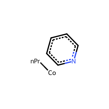 CC[CH2][Co].c1ccncc1